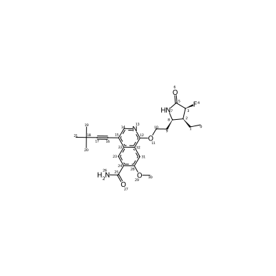 CC[C@@H]1[C@H](F)C(=O)N[C@@H]1CCOc1ncc(C#CC(C)(C)C)c2cc(C(N)=O)c(OC)cc12